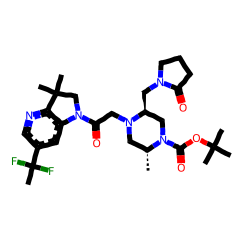 C[C@@H]1CN(CC(=O)N2CC(C)(C)c3ncc(C(C)(F)F)cc32)[C@@H](CN2CCCC2=O)CN1C(=O)OC(C)(C)C